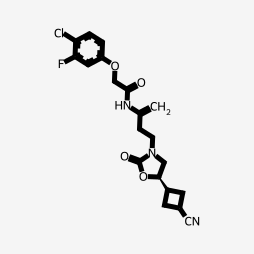 C=C(CCN1C[C@@H](C2CC(C#N)C2)OC1=O)NC(=O)COc1ccc(Cl)c(F)c1